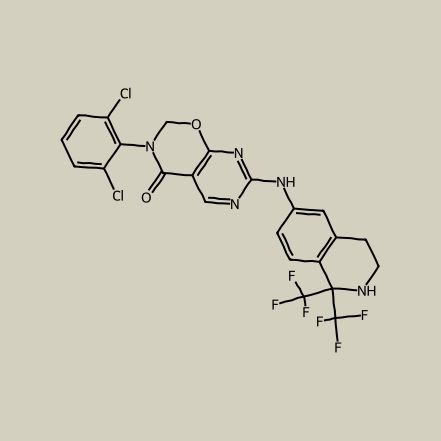 O=C1c2cnc(Nc3ccc4c(c3)CCNC4(C(F)(F)F)C(F)(F)F)nc2OCN1c1c(Cl)cccc1Cl